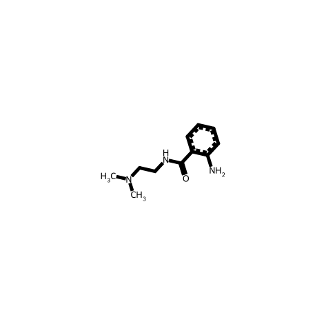 CN(C)CCNC(=O)c1ccccc1N